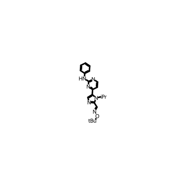 CC(C)n1c(-c2ccnc(Nc3ccccc3)n2)cnc1C=NOC(C)(C)C